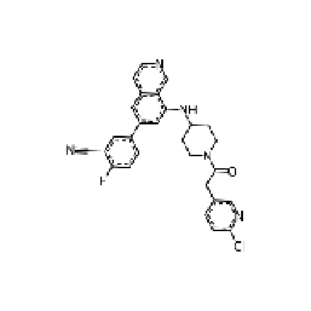 N#Cc1cc(-c2cc(NC3CCN(C(=O)Cc4ccc(Cl)nc4)CC3)c3cnccc3c2)ccc1F